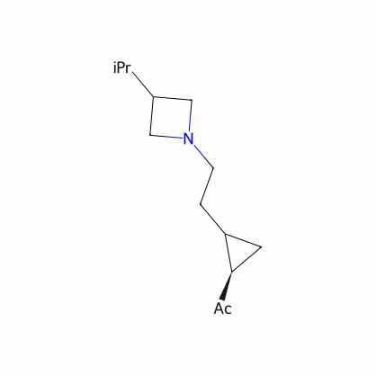 CC(=O)[C@@H]1CC1CCN1CC(C(C)C)C1